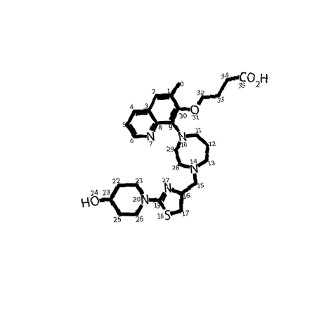 Cc1cc2cccnc2c(N2CCCN(CC3CSC(N4CCC(O)CC4)=N3)CC2)c1OCCCC(=O)O